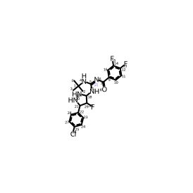 CC(C)(C)N/C(=N/C(=O)c1ccc(F)c(F)c1)NC1NNC(c2ccc(Cl)cc2)C1F